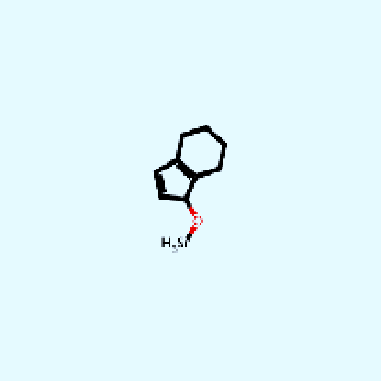 [SiH3]O[C]1C=CC2=C1CCCC2